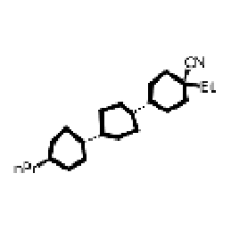 CCC[C@H]1CC[C@H](C2CCC([C@H]3CC[C@@](C#N)(CC)CC3)CC2)CC1